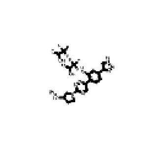 CC(C)NC1CCN(c2ncc(-c3ccc(-c4c[nH]nn4)cc3O)nn2)C1.O=C(O)C(F)(F)F.O=C(O)C(F)(F)F